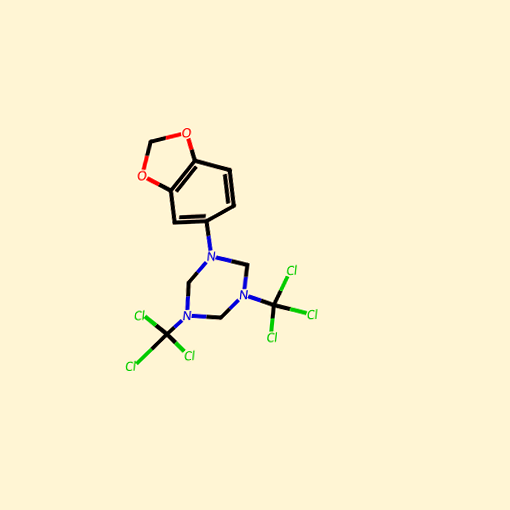 ClC(Cl)(Cl)N1CN(c2ccc3c(c2)OCO3)CN(C(Cl)(Cl)Cl)C1